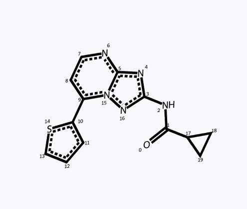 O=C(Nc1nc2nccc(-c3cccs3)n2n1)C1CC1